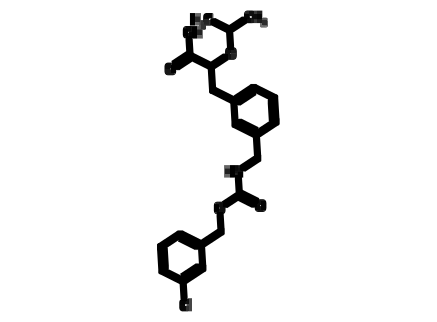 CC(C)OC(Cc1cccc(CNC(=O)OCc2cccc(Cl)c2)c1)C(=O)O